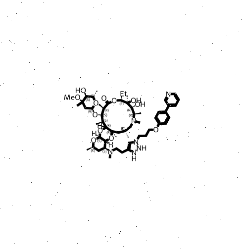 CC[C@H]1OC(=O)[C@H](C)[C@@H](O[C@H]2C[C@@](C)(OC)[C@@H](O)[C@H](C)O2)[C@H](C)[C@H]2O[C@@H]3O[C@H](C)C[C@H](N(C)CCC4=CN(CCCOc5ccc(-c6cccnc6)cc5)NN4)[C@H]3O[C@]2(C)C[C@@H](C)CN(C)[C@H](C)[C@@H](O)[C@]1(C)O